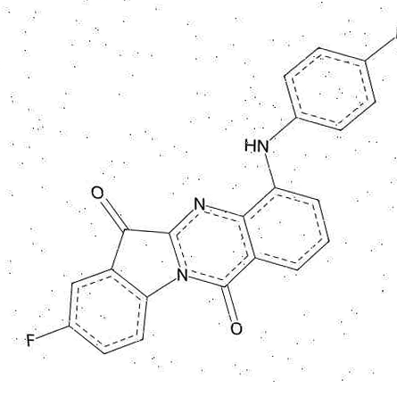 O=C1c2cc(F)ccc2-n2c1nc1c(Nc3ccc(F)cc3)cccc1c2=O